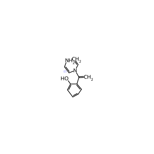 C=CN(/C=C\N)C(=C)c1ccccc1O